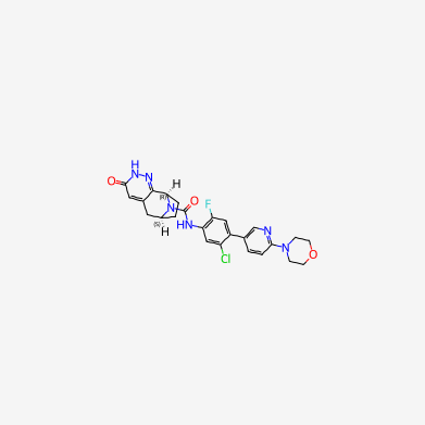 O=C(Nc1cc(Cl)c(-c2ccc(N3CCOCC3)nc2)cc1F)N1[C@H]2CC[C@@H]1c1n[nH]c(=O)cc1C2